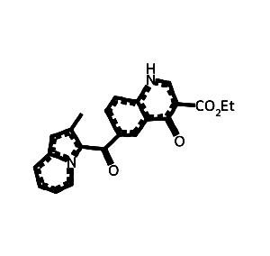 CCOC(=O)c1c[nH]c2ccc(C(=O)c3c(C)cc4ccccn34)cc2c1=O